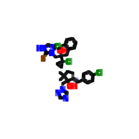 CC1(C)CC/C(=C\c2ccc(Cl)cc2)C1(O)Cn1cncn1.OC(Cc1ccccc1Cl)(Cn1nc[nH]c1=S)C1(Cl)CC1